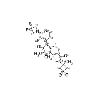 CC1(NC(=O)c2ccc3c(c2)C(C)(C)C(=O)N3c2ccnc(N3CC(F)(F)C3)c2F)CS(=O)(=O)C1